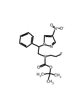 CC(C)(C)OC(=O)N(CCF)CC(c1ccccc1)n1cc([N+](=O)[O-])cn1